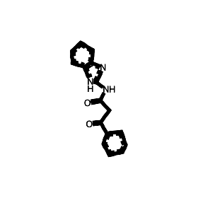 O=C(CC(=O)c1ccccc1)Nc1nc2ccccc2[nH]1